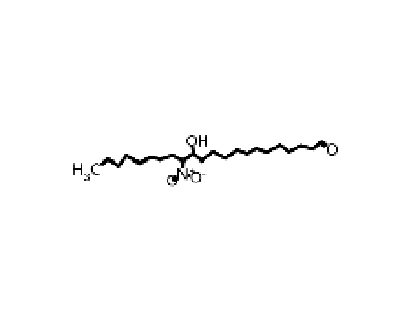 CCCCCCCCC(C(O)CCCCCCCCCCCC=O)[N+](=O)[O-]